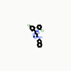 Clc1ccc(-c2c3ncnc(NC4Cc5ccccc5C4)c3nn2-c2ccccc2Cl)cc1